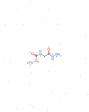 NNC(=O)CNC(=O)ON